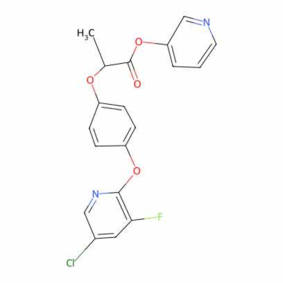 CC(Oc1ccc(Oc2ncc(Cl)cc2F)cc1)C(=O)Oc1cccnc1